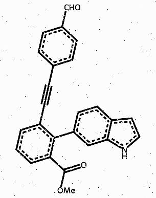 COC(=O)c1cccc(C#Cc2ccc(C=O)cc2)c1-c1ccc2cc[nH]c2c1